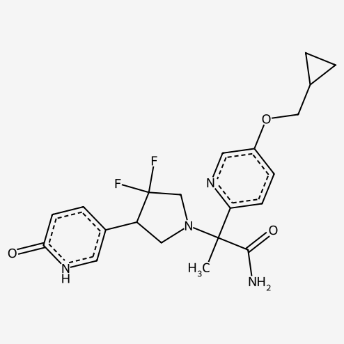 CC(C(N)=O)(c1ccc(OCC2CC2)cn1)N1CC(c2ccc(=O)[nH]c2)C(F)(F)C1